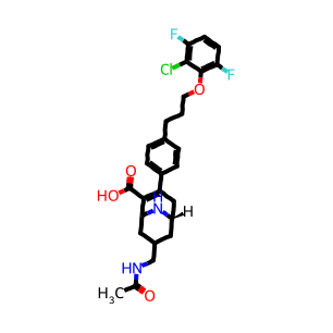 CC(=O)NCC1CC2N[C@H](CC(c3ccc(CCCOc4c(F)ccc(F)c4Cl)cc3)=C2C(=O)O)C1